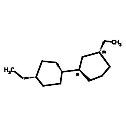 CC[C@@H]1CCC[C@@H]([C@H]2CC[C@@H](CC)CC2)C1